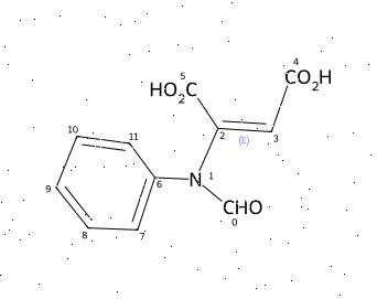 O=CN(/C(=C/C(=O)O)C(=O)O)c1ccccc1